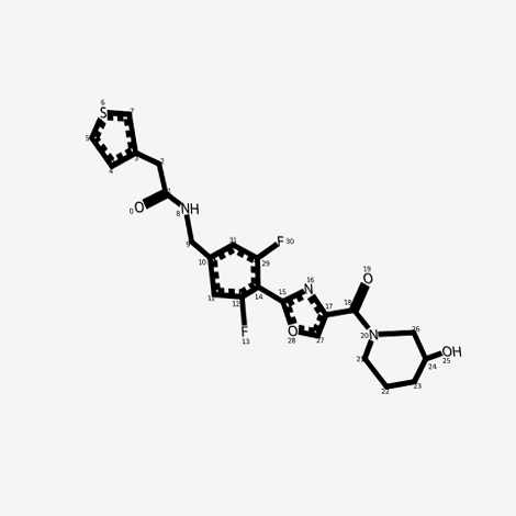 O=C(Cc1ccsc1)NCc1cc(F)c(-c2nc(C(=O)N3CCCC(O)C3)co2)c(F)c1